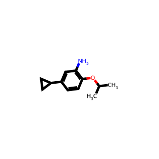 CC(C)Oc1ccc(C2CC2)cc1N